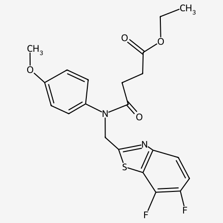 CCOC(=O)CCC(=O)N(Cc1nc2ccc(F)c(F)c2s1)c1ccc(OC)cc1